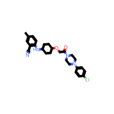 Cc1ccc(NC2CCC(OCC(=O)N3CCN(c4ccc(Cl)cc4)CC3)CC2)c(C#N)c1